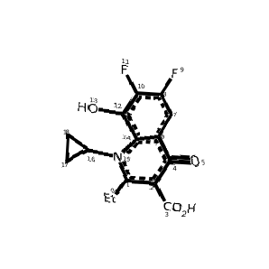 CCc1c(C(=O)O)c(=O)c2cc(F)c(F)c(O)c2n1C1CC1